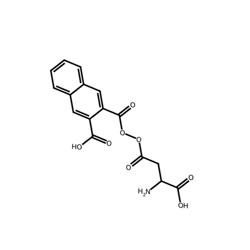 NC(CC(=O)OOC(=O)c1cc2ccccc2cc1C(=O)O)C(=O)O